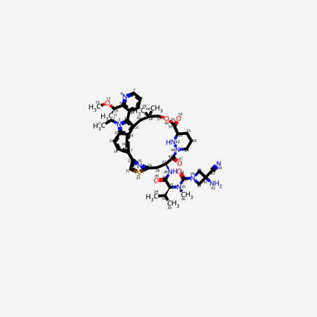 CCn1c(-c2cccnc2[C@H](C)OC)c2c3cc(ccc31)-c1csc(n1)C[C@H](NC(=O)[C@H](C(C)C)N(C)C(=O)N1CC(N)(C#N)C1)C(=O)N1CCC[C@](C=O)(COCC(C)(C)C2)N1